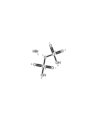 Br.[O]=[Cr](=[O])([OH])[O][Cr](=[O])(=[O])[OH]